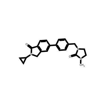 CN1CCN(Cc2ccc(-c3ccc4c(c3)CN(C3CC3)C4=O)cc2)C1=O